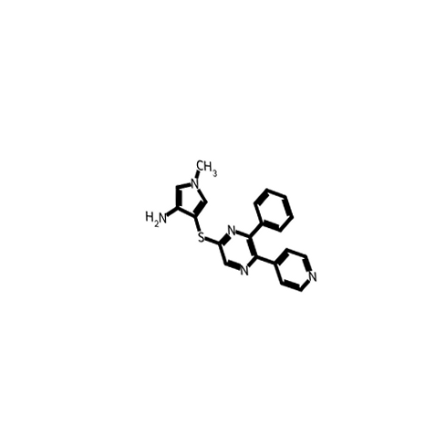 Cn1cc(N)c(Sc2cnc(-c3ccncc3)c(-c3ccccc3)n2)c1